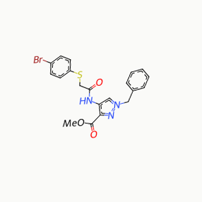 COC(=O)c1nn(Cc2ccccc2)cc1NC(=O)CSc1ccc(Br)cc1